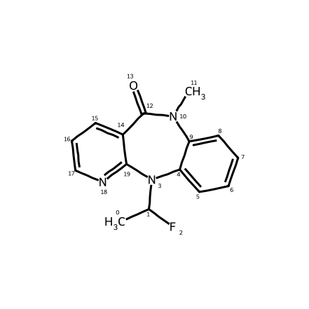 CC(F)N1c2ccccc2N(C)C(=O)c2cccnc21